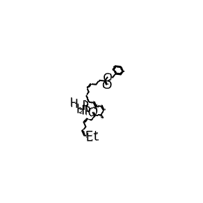 CC/C=C\C/C=C\CC(OPP)C(C)\C=C/C=C/C=C\C/C=C\CCC(=O)OCc1ccccc1